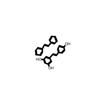 C(=C\c1ccccc1)/c1ccccc1.Oc1ccc(/C=C/c2cc(O)cc(O)c2)cc1